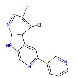 Fc1cnc2[nH]c3cnc(-c4cccnc4)cc3c2c1Cl